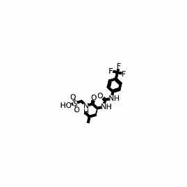 CC(C)C[C@H](NC(=O)Nc1ccc(C(F)(F)F)cc1)C(=O)NCS(=O)(=O)O